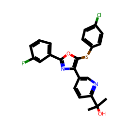 CC(C)(O)c1ccc(-c2nc(-c3cccc(F)c3)oc2Sc2ccc(Cl)cc2)cn1